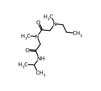 CCCN(C)CC(=O)N(C)CC(=O)NC(C)C